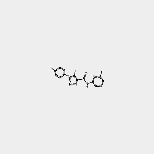 Cc1cccc(NC(=O)c2nnn(-c3ccc(F)cc3)c2C)n1